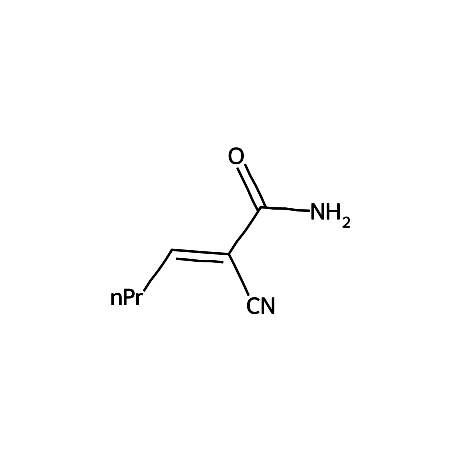 CCC/C=C(\C#N)C(N)=O